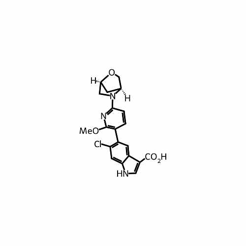 COc1nc(N2C[C@@H]3C[C@H]2CO3)ccc1-c1cc2c(C(=O)O)c[nH]c2cc1Cl